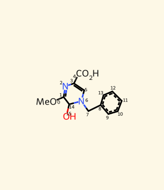 COC1=NC(C(=O)O)=CN(Cc2ccccc2)C1O